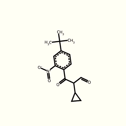 CC(C)(C)c1ccc(C(=O)C(C=O)C2CC2)c([N+](=O)[O-])c1